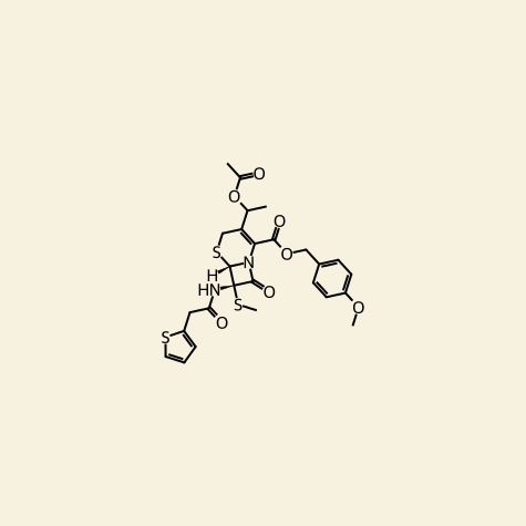 COc1ccc(COC(=O)C2=C(C(C)OC(C)=O)CS[C@@H]3N2C(=O)[C@]3(NC(=O)Cc2cccs2)SC)cc1